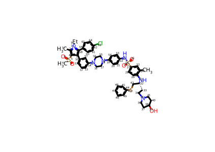 CCn1c(C)c(S(C)(=O)=O)c(-c2cccc(N3CCN(c4ccc(NS(=O)(=O)c5ccc(N[C@H](CCN6CCC(O)CC6)CSc6ccccc6)c(C)c5)cc4)CC3)c2)c1-c1ccc(Cl)cc1